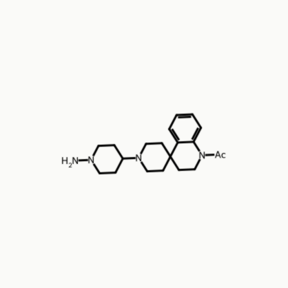 CC(=O)N1CCC2(CCN(C3CCN(N)CC3)CC2)c2ccccc21